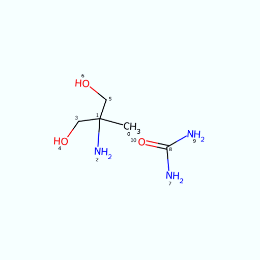 CC(N)(CO)CO.NC(N)=O